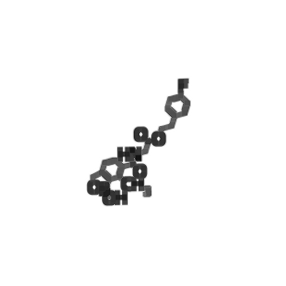 Cc1c(C(=O)NCC(=O)OCCc2ccc(F)cc2)ccc2c1B(O)OC2